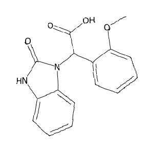 COc1ccccc1C(C(=O)O)n1c(=O)[nH]c2ccccc21